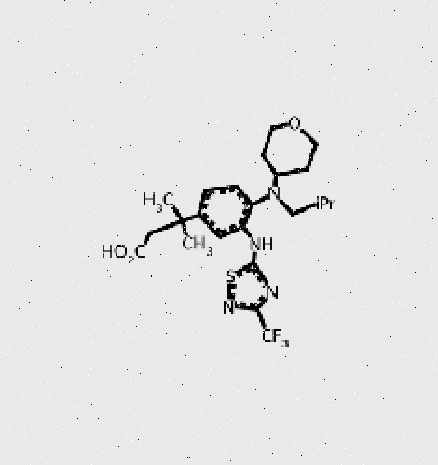 CC(C)CN(c1ccc(C(C)(C)CC(=O)O)cc1Nc1nc(C(F)(F)F)ns1)C1CCOCC1